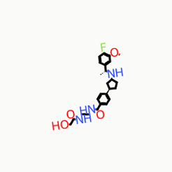 COc1cc([C@@H](C)N[C@H]2CC[C@@H](c3ccc(C(=O)NCCNC(=O)CO)cc3)C2)ccc1F